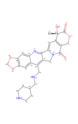 CC[C@@]1(O)C(=O)OCc2c1cc1n(c2=O)Cc2c-1nc1cc3c(cc1c2CNCC1CCNCC1)OCO3